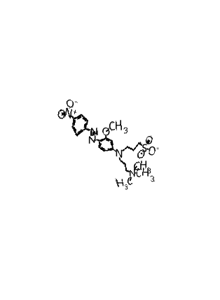 COc1cc(N(CCC[N+](C)(C)C)CCCS(=O)(=O)[O-])ccc1N=Nc1ccc([N+](=O)[O-])cc1